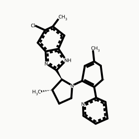 CC1=CC(N2CC[C@H](C)[C@H]2c2nc3cc(Cl)c(C)cc3[nH]2)=C(c2ccccn2)[CH]C1